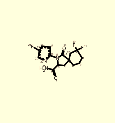 NC(=O)C1CC2(C[CH]CC(F)(F)C2)C(=O)N1c1ccc(F)cn1